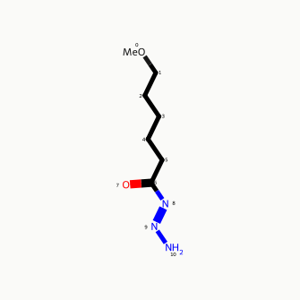 COCCCCCC(=O)N=NN